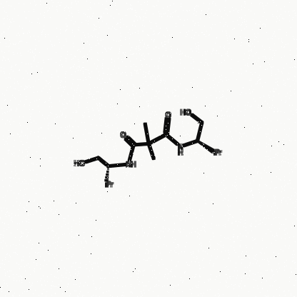 CC(C)[C@H](CO)NC(=O)C(C)(C)C(=O)N[C@@H](CO)C(C)C